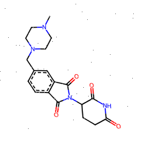 CN1CCN(Cc2ccc3c(c2)C(=O)N(C2CCC(=O)NC2=O)C3=O)CC1